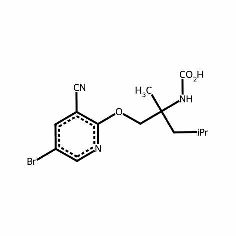 CC(C)CC(C)(COc1ncc(Br)cc1C#N)NC(=O)O